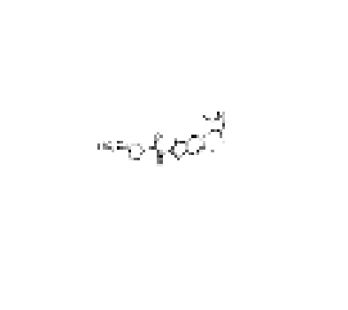 Cc1cc2nc(NC(=O)C3CCN(C(=O)O)C3)sc2cc1-c1c(C)noc1C